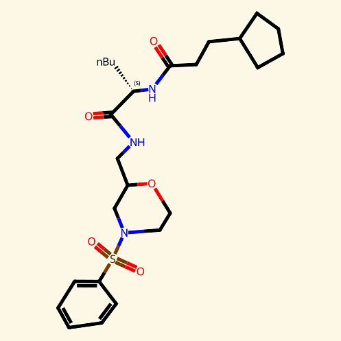 CCCC[C@H](NC(=O)CCC1CCCC1)C(=O)NCC1CN(S(=O)(=O)c2ccccc2)CCO1